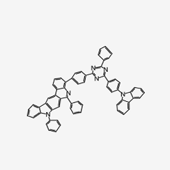 c1ccc(-c2nc(-c3ccc(-c4cccc5c4nc(-c4ccccc4)c4cc6c(cc45)c4ccccc4n6-c4ccccc4)cc3)nc(-c3ccc(-n4c5ccccc5c5ccccc54)cc3)n2)cc1